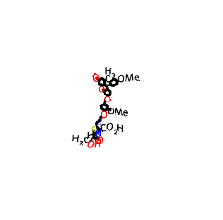 COc1ccc(-c2c3ccc(=O)cc-3oc3cc(OCc4ccc(OC/C=C/C5=C(C(=O)O)N6C(=O)[C@H](C(C)O)[C@H]6S5)c(OC)c4)ccc23)c(C)c1